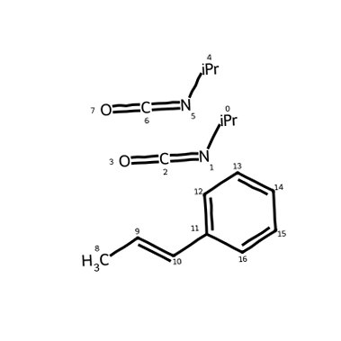 CC(C)N=C=O.CC(C)N=C=O.CC=Cc1ccccc1